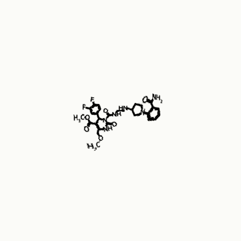 COCC1=C(C(=O)OC)C(c2ccc(F)c(F)c2)N(C(=O)NCCNC2CCN(c3ccccc3C(N)=O)CC2)C(=O)N1